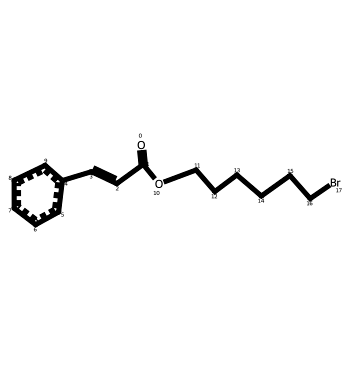 O=C(C=Cc1ccccc1)OCCCCCCBr